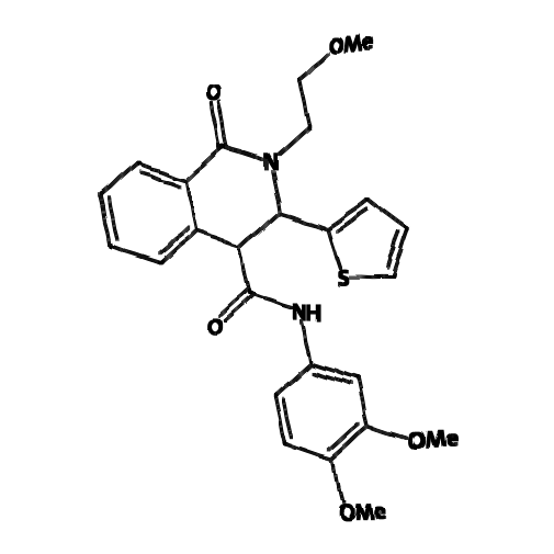 COCCN1C(=O)c2ccccc2C(C(=O)Nc2ccc(OC)c(OC)c2)C1c1cccs1